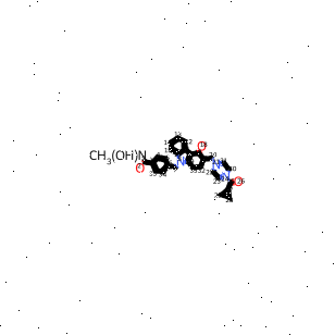 CN(O)C(=O)c1ccc(Cn2c3c(c4ccccc42)C(=O)C(CN2CCN(C(=O)C4CC4)CC2)CC3)cc1